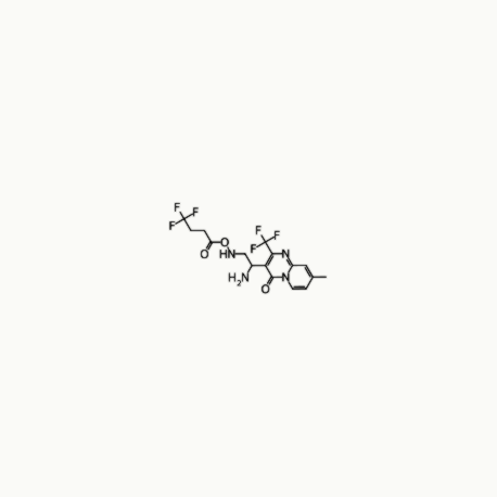 Cc1ccn2c(=O)c(C(N)CNOC(=O)CCC(F)(F)F)c(C(F)(F)F)nc2c1